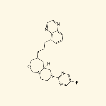 Fc1cnc(N2CCN3COC[C@@H](CCCc4cccc5nccnc45)C[C@H]3C2)nc1